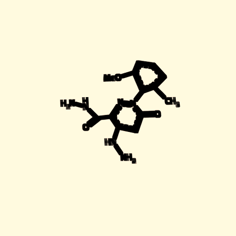 COc1cccc(C)c1-n1nc(C(=O)NN)c(NN)cc1=O